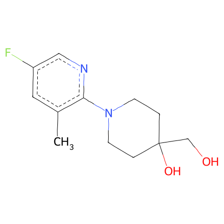 Cc1cc(F)cnc1N1CCC(O)(CO)CC1